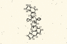 O=C1C2CN(Cc3c4ccccc4cc4ccccc34)CCN2C(=O)CN1Cc1cccc2ccccc12